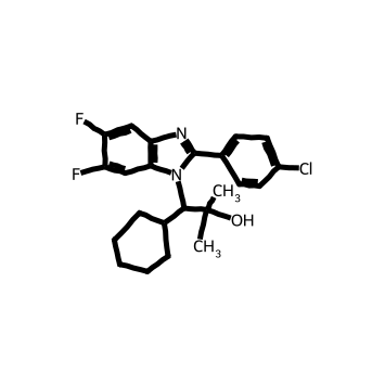 CC(C)(O)C(C1CCCCC1)n1c(-c2ccc(Cl)cc2)nc2cc(F)c(F)cc21